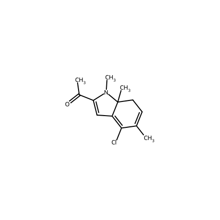 CC(=O)C1=CC2=C(Cl)C(C)=CCC2(C)N1C